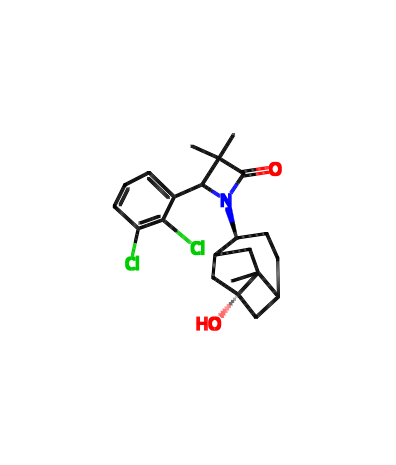 CC1(C)C(=O)N([C@H]2CCC3C[C@@]4(O)CC2CC34C)C1c1cccc(Cl)c1Cl